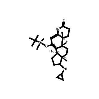 CC(C)(C)[Si](C)(C)OC1=C2[C@@H](CC[C@]3(C)C(NC4CC4)CC[C@@H]23)[C@@]2(C)CCC(=O)NC2=C1